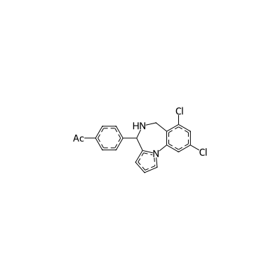 CC(=O)c1ccc(C2NCc3c(Cl)cc(Cl)cc3-n3cccc32)cc1